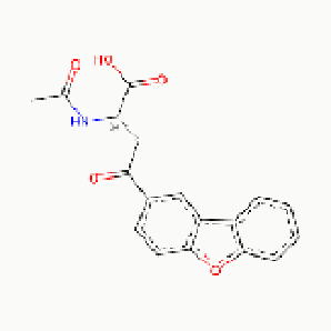 CC(=O)N[C@@H](CC(=O)c1ccc2oc3ccccc3c2c1)C(=O)O